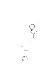 O=C(COC(=O)C1CCC(Cc2ccccc2)N1C(=O)O)c1ccc2c(O)cccc2c1